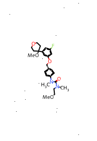 COCCN(C)C(=O)N(C)c1ccc(COc2cc(F)cc(C3(OC)CCOCC3)c2)cc1